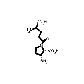 NC(CCC(=O)N1CC[C@@H](N)[C@H]1C(=O)O)C(=O)O